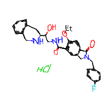 CCOc1cc2c(cc1C(=O)NCC(O)C1Cc3ccccc3CN1)CN(Cc1ccc(F)cc1)C2=O.Cl